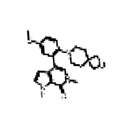 CSc1ccc(N2CCC3(CC2)COC3)c(-c2cn(C)c(=O)c3[nH]ccc23)c1